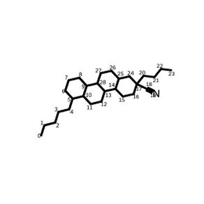 CCCCCC1CCCC2C1CCC1C3CCC(C#N)(CCCC)CC3CCC21